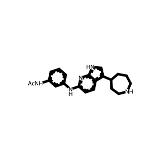 CC(=O)Nc1cccc(Nc2ccc3c(C4CCCNCC4)c[nH]c3n2)c1